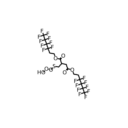 O=C(CC(CSOOO)C(=O)OCCC(F)(F)C(F)(F)C(F)(F)C(F)(F)F)OCCC(F)(F)C(F)(F)C(F)(F)C(F)(F)F